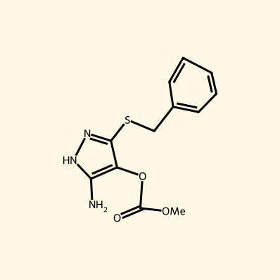 COC(=O)Oc1c(SCc2ccccc2)n[nH]c1N